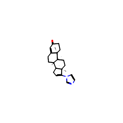 C[C@]12CCC(=O)C=C1CC[C@@H]1[C@@H]2CC[C@]2(C)C(n3ccnc3)=CC[C@@H]12